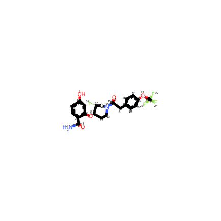 NC(=O)c1ccc(O)cc1O[C@H]1CCN(C(=O)Cc2ccc(OC(F)(F)F)cc2)C[C@H]1F